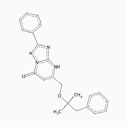 CC(C)(Cc1ccccc1)OCc1cc(=O)n2nc(-c3ccccc3)nc2[nH]1